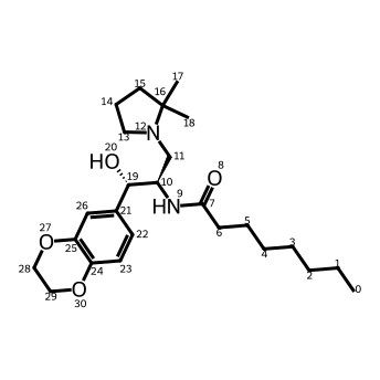 CCCCCCCC(=O)N[C@H](CN1CCCC1(C)C)[C@@H](O)c1ccc2c(c1)OCCO2